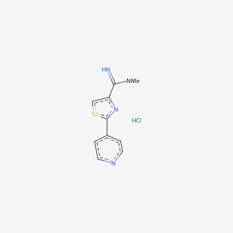 CNC(=N)c1csc(-c2ccncc2)n1.Cl